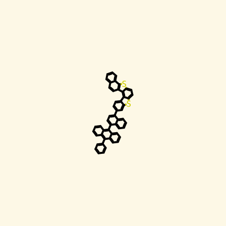 c1ccc(-c2c3ccccc3c(-c3ccc(-c4ccc5c(c4)sc4ccc6sc7c8ccccc8ccc7c6c45)c4ccccc34)c3ccccc23)cc1